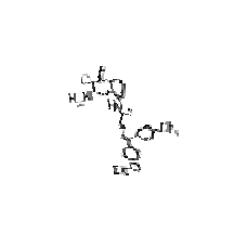 CCOc1ccc(C(=CC=CC(=O)Nc2cccc3c2CC(N)C(=O)N3)c2ccc(C(F)(F)F)cc2)cc1